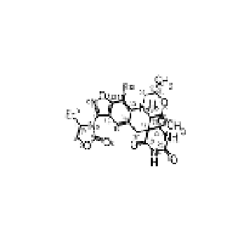 CC[C@@H]1COC(=O)N1c1noc2c(F)c3c(cc12)CC1(C(=O)NC(=O)NC1=O)[C@@H]1[C@@H](C)O[C@@H](C)CN31